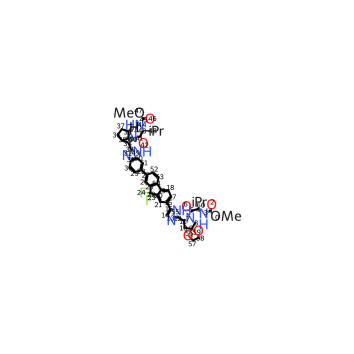 COC(=O)N[C@H](C(=O)N1CC2(CC1c1ncc(-c3ccc4c(c3)C(F)(F)c3cc(-c5ccc6nc(C7C8CC[C@H](C8)N7C(=O)[C@@H](NC(=O)OC)C(C)C)[nH]c6c5)ccc3-4)[nH]1)OCCO2)C(C)C